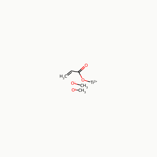 C=CC(=O)[O][Ti+2].C[O-].C[O-]